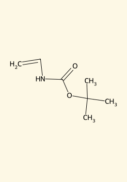 C=CNC(=O)OC(C)(C)C